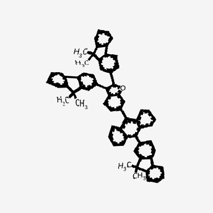 CC1(C)c2ccccc2-c2ccc(-c3oc4cc(-c5c6ccccc6c(-c6ccc7c(c6)C(C)(C)c6ccccc6-7)c6ccccc56)ccc4c3-c3ccc4c(c3)C(C)(C)c3ccccc3-4)cc21